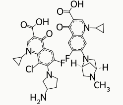 CN1C[C@@H]2C[C@H]1CN2c1cc2c(cc1F)c(=O)c(C(=O)O)cn2C1CC1.NC1CCN(c2c(F)cc3c(=O)c(C(=O)O)cn(C4CC4)c3c2Cl)C1